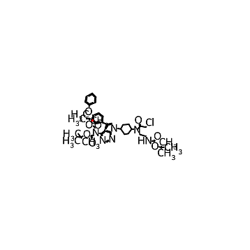 CC(C)(C)OC(=O)NCCN(C(=O)CCl)C1CCC(n2cc(-c3ccc(Oc4ccccc4)cc3)c3c(N(C(=O)OC(C)(C)C)C(=O)OC(C)(C)C)ncnc32)CC1